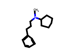 CN(CCCc1ccccc1)C1CCCCC1